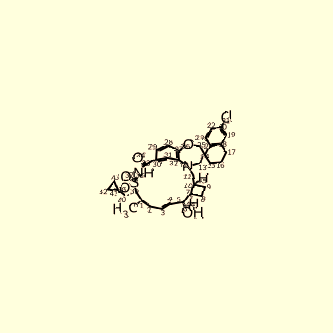 C[C@@H]1C/C=C/[C@H](O)[C@@H]2CC[C@H]2CN2C[C@@]3(CCCc4cc(Cl)ccc43)COc3ccc(cc32)C(=O)NS(=O)(=O)[C@H]1CC1CC1